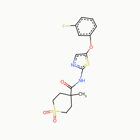 CC1(C(=O)Nc2ncc(Oc3cccc(F)c3)s2)CCS(=O)(=O)CC1